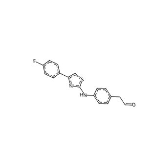 O=CCc1ccc(Nc2nc(-c3ccc(F)cc3)cs2)cc1